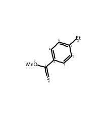 CCc1ccc(C(=S)OC)cc1